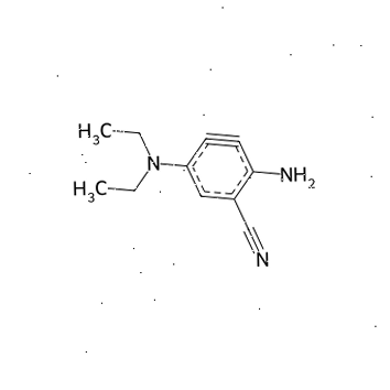 CCN(CC)c1c#cc(N)c(C#N)c1